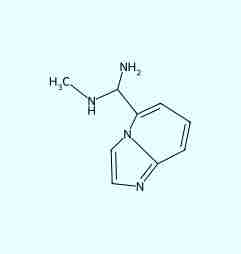 CNC(N)c1cccc2nccn12